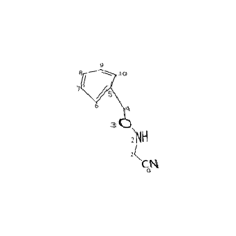 N#CCNOCc1ccccc1